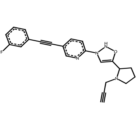 C#CCN1CCCC1C1=CN(c2ccc(C#Cc3cccc(F)c3)cn2)NO1